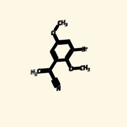 C=C(C#N)c1cc(OC)cc(Br)c1OC